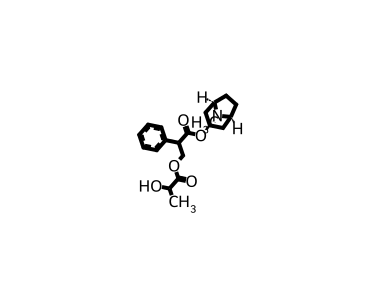 CC(O)C(=O)OCC(C(=O)O[C@H]1C[C@H]2CC[C@@H](C1)N2C)c1ccccc1